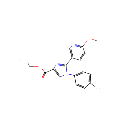 CCOC(=O)c1cn(-c2ccc(C)cc2)c(-c2ccc(OC)nc2)n1